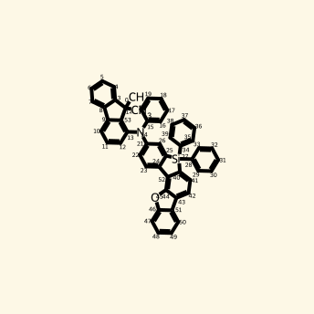 CC1(C)c2ccccc2-c2cccc(N(c3ccccc3)c3ccc4c(c3)[Si](c3ccccc3)(c3ccccc3)c3ccc5c(oc6ccccc65)c3-4)c21